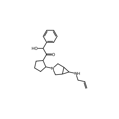 C=CCNC1C2CN(C3CCCC3C(=O)C(O)c3ccccc3)CC21